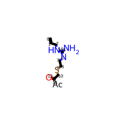 C=CCNC(N)=NCCSCC(=O)C(C)=O